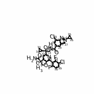 C[C@]1(C(N)=O)COc2c1cc(C(O)(CNC(=O)c1cc(Cl)c3nn(C4CC4)cc3c1)C1CC1)nc2-c1c(F)ccc(Cl)c1F